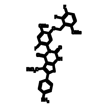 CCOC(=O)c1c(-c2ccc(N)cc2)sc2[nH]c(=O)n(-c3cc(OCc4c(OC)ccc(F)c4F)c(OC)cc3F)c(=O)c12